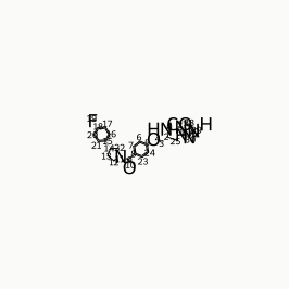 O=C(O)N[C@@H](COc1ccc(C(=O)N2CC[C@H](c3ccc(F)cc3)C2)cc1)Cn1ncnn1